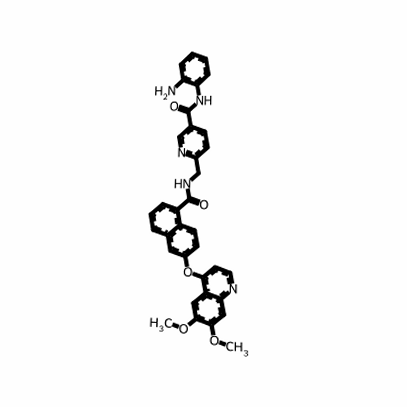 COc1cc2nccc(Oc3ccc4c(C(=O)NCc5ccc(C(=O)Nc6ccccc6N)cn5)cccc4c3)c2cc1OC